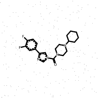 O=C(N1CCN(C2CCCCC2)CC1)n1cnc(-c2ccc(F)c(F)c2)c1